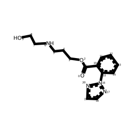 O=C(OCCCNCCO)c1ccccc1-n1nccn1